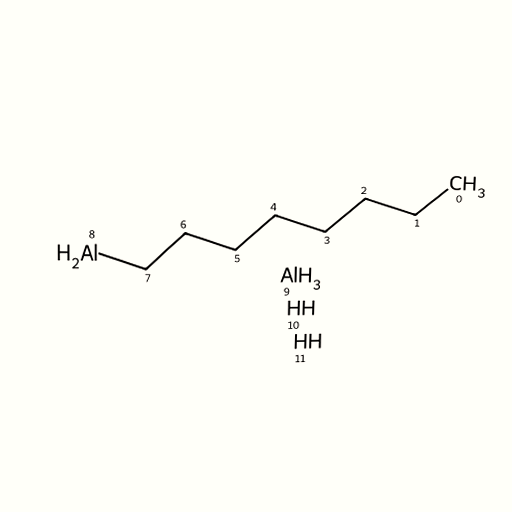 CCCCCCC[CH2][AlH2].[AlH3].[HH].[HH]